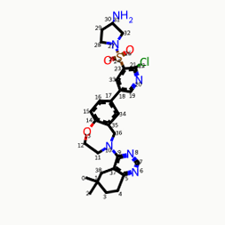 CC1(C)CCc2ncnc(N3CCOc4ccc(-c5cnc(Cl)c(S(=O)(=O)N6CC[C@H](N)C6)c5)cc4C3)c2C1